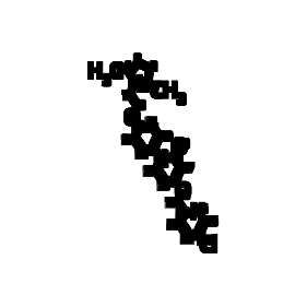 C[C@@H]1CC[C@@H](C)N1CCOc1ccc(-n2ccc(OCc3ccc(Cl)cn3)cc2=O)cc1